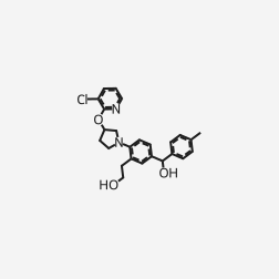 Cc1ccc(C(O)c2ccc(N3CCC(Oc4ncccc4Cl)C3)c(CCO)c2)cc1